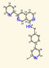 Cc1cc(-c2ccc(CNc3nccc4cc(-c5ccccn5)ncc34)cc2)ccn1